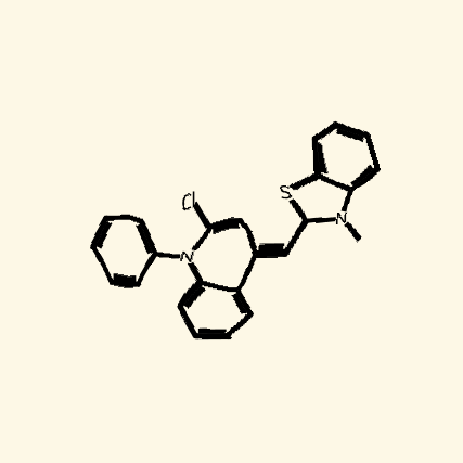 CN1c2ccccc2SC1C=C1C=C(Cl)N(c2ccccc2)c2ccccc21